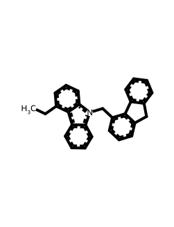 CCc1cccc2c1c1ccccc1n2Cc1cccc2c1-c1ccccc1C2